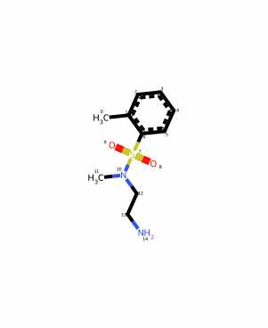 Cc1ccccc1S(=O)(=O)N(C)CCN